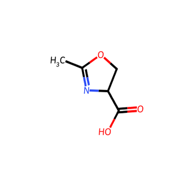 CC1=NC(C(=O)O)CO1